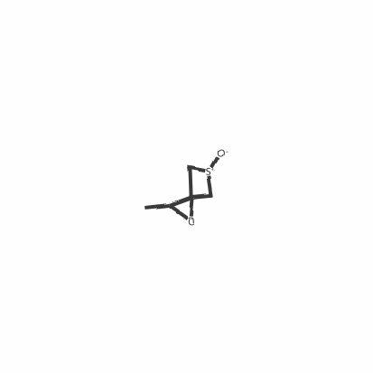 CC1OC12C[S+]([O-])C2